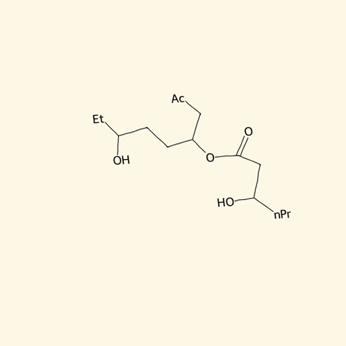 CCCC(O)CC(=O)OC(CCC(O)CC)CC(C)=O